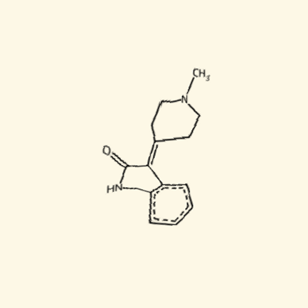 CN1CCC(=C2C(=O)Nc3ccccc32)CC1